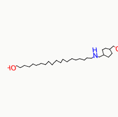 OCCCCCCCCCCCCCCCCCCCCNCC1CCC(CO)CC1